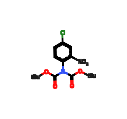 CC(C)(C)OC(=O)N(C(=O)OC(C)(C)C)c1ccc(Cl)cc1[N+](=O)[O-]